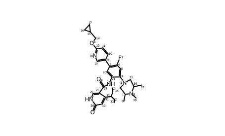 CC1CN(c2cc(F)c(-c3ccc(OCC4CC4)nc3)cc2NC(=O)c2c[nH]c(=O)cc2C(F)F)CC(C)N1C